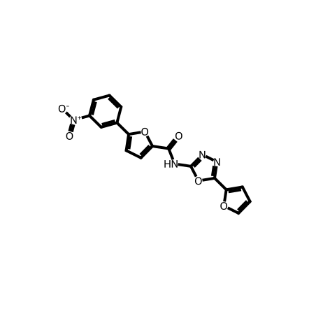 O=C(Nc1nnc(-c2ccco2)o1)c1ccc(-c2cccc([N+](=O)[O-])c2)o1